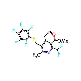 COC(=O)c1c(C(F)F)nc(C(F)(F)F)c(CSc2c(F)c(F)c(F)c(F)c2F)c1CC(C)C